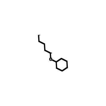 [CH2]CCC[CH]OC1CCCCC1